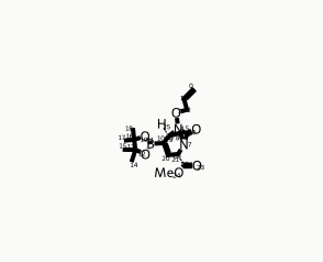 C=CCON1C(=O)N2C[C@H]1C(B1OC(C)(C)C(C)(C)O1)=C[C@H]2C(=O)OC